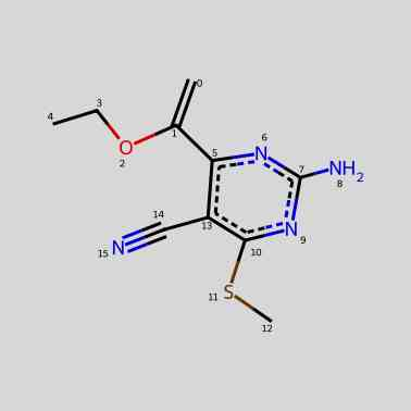 C=C(OCC)c1nc(N)nc(SC)c1C#N